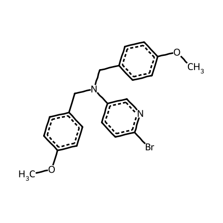 COc1ccc(CN(Cc2ccc(OC)cc2)c2ccc(Br)nc2)cc1